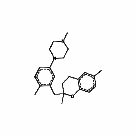 Cc1ccc2c(c1)CCC(C)(Cc1cc(N3CCN(C)CC3)ccc1C)O2